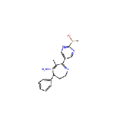 CC1=C(N)C(c2ccccc2)CCN=C1c1cnc([S+](C)[O-])nc1